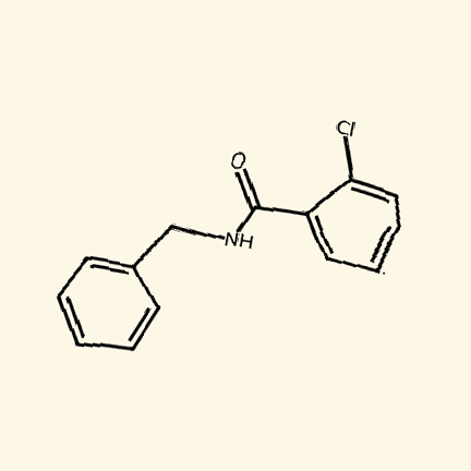 O=C(NCc1ccccc1)c1c[c]ccc1Cl